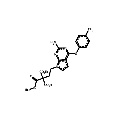 CCOC(=O)C(CCn1cnc2c(Sc3ccc(C)cc3)nc(N)nc21)(C(=O)O)C(=O)OC(C)CC